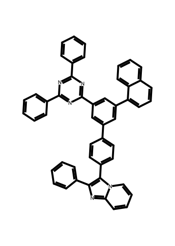 c1ccc(-c2nc(-c3ccccc3)nc(-c3cc(-c4ccc(-c5c(-c6ccccc6)nc6ccccn56)cc4)cc(-c4cccc5ccccc45)c3)n2)cc1